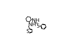 c1ccc(SCCN[C@@H]2CCCCC2NCc2cccs2)cc1